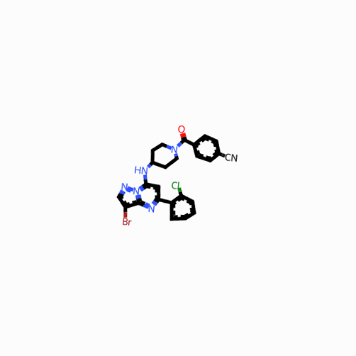 N#Cc1ccc(C(=O)N2CCC(Nc3cc(-c4ccccc4Cl)nc4c(Br)cnn34)CC2)cc1